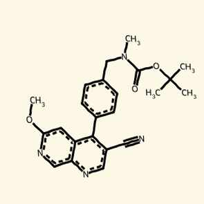 COc1cc2c(-c3ccc(CN(C)C(=O)OC(C)(C)C)cc3)c(C#N)cnc2cn1